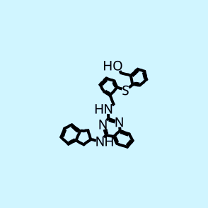 OCc1ccccc1Sc1ccccc1CNc1nc(NC2Cc3ccccc3C2)c2ccccc2n1